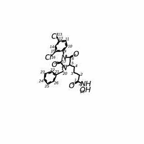 O=C(CCCC1C(=O)N(c2ccc(Cl)cc2Cl)C(=O)N1Cc1ccccc1)NO